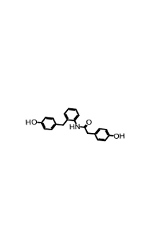 O=C(Cc1ccc(O)cc1)Nc1ccccc1Cc1ccc(O)cc1